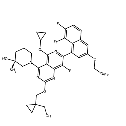 CCc1c(F)ccc2cc(OCOC)cc(-c3nc(OC4CC4)c4c(N5CCC[C@@](C)(O)C5)nc(OCC5(CO)CC5)nc4c3F)c12